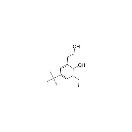 CCc1cc(C(C)(C)C)cc(CCO)c1O